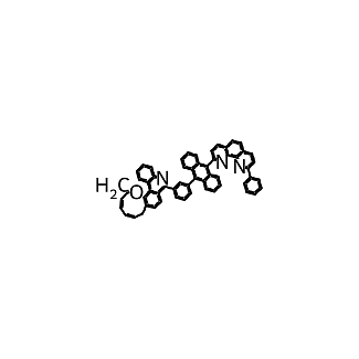 C=C1/C=C\C=C/Cc2ccc3c(-c4cccc(-c5c6ccccc6c(-c6ccc7ccc8ccc(-c9ccccc9)nc8c7n6)c6ccccc56)c4)nc4ccccc4c3c2O1